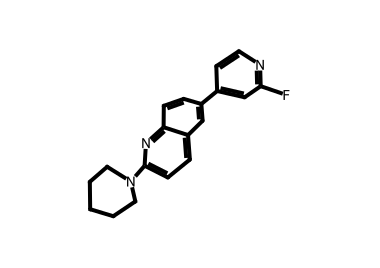 Fc1cc(-c2ccc3nc(N4CCCCC4)ccc3c2)ccn1